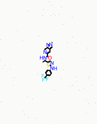 CC(NC(=O)c1cc2cn(C)nc2cn1)c1cnc(Nc2ccc(C(F)(F)F)cc2)s1